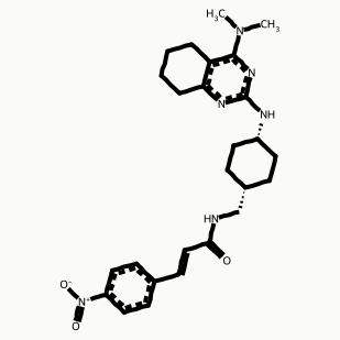 CN(C)c1nc(N[C@H]2CC[C@@H](CNC(=O)C=Cc3ccc([N+](=O)[O-])cc3)CC2)nc2c1CCCC2